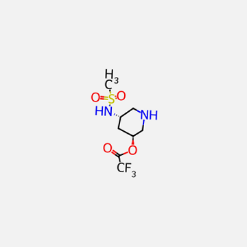 CS(=O)(=O)N[C@@H]1CNC[C@@H](OC(=O)C(F)(F)F)C1